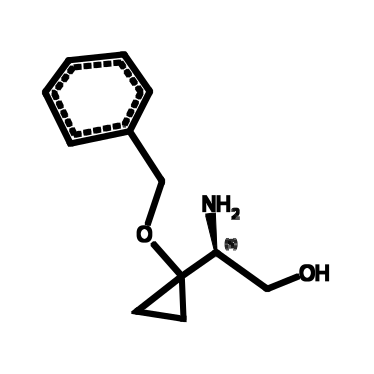 N[C@@H](CO)C1(OCc2ccccc2)CC1